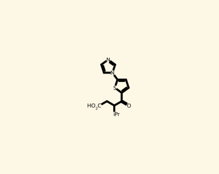 CC(C)C(CC(=O)O)C(=O)c1ccc(-n2ccnc2)s1